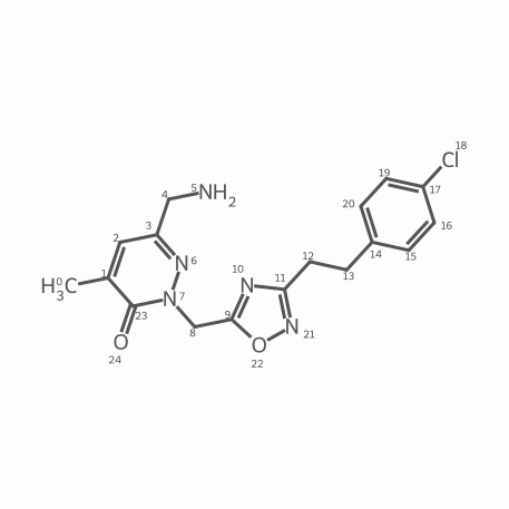 Cc1cc(CN)nn(Cc2nc(CCc3ccc(Cl)cc3)no2)c1=O